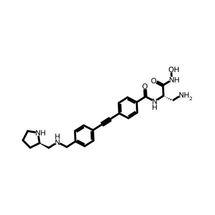 NC[C@H](NC(=O)c1ccc(C#Cc2ccc(CNC[C@H]3CCCN3)cc2)cc1)C(=O)NO